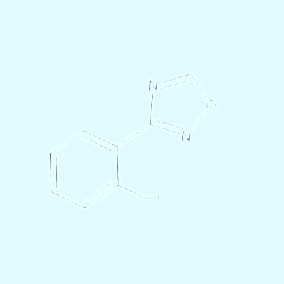 Clc1ccccc1-c1ncon1